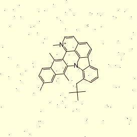 Cc1ccc2c(C)c3c(c(C)c2c1)n1c2c(CC(C)(C)C)cccc2c2ccc4cc[n+](C)c3c4c21